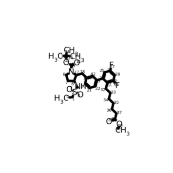 CCS(=O)(=O)NC1CCN(C(=O)OC(C)(C)C)C1Cc1cccc(-c2cc(F)cc(F)c2CCCCCCC(=O)OC)c1